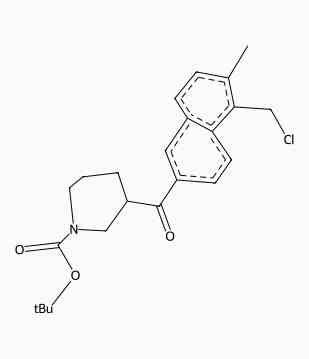 Cc1ccc2cc(C(=O)C3CCCN(C(=O)OC(C)(C)C)C3)ccc2c1CCl